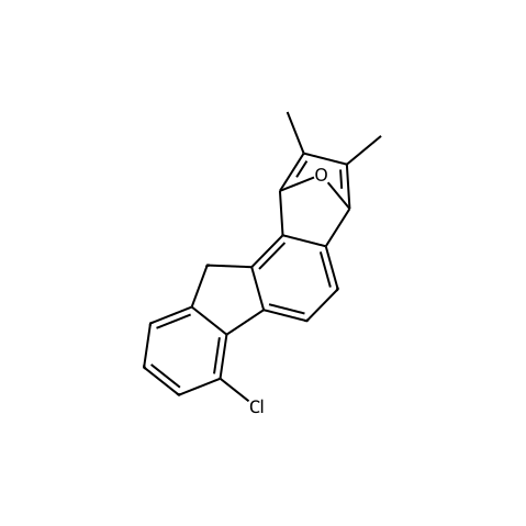 Cc1c(C)c2oc1c1ccc3c(c21)Cc1cccc(Cl)c1-3